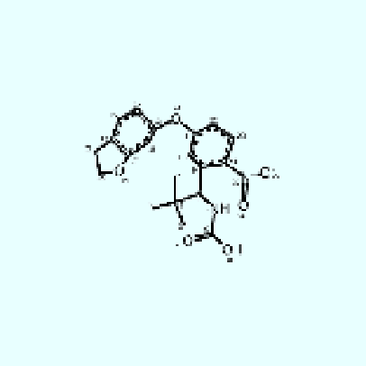 CC(C)(C)C(NC(=O)O)c1cc(Oc2ccc3c(c2)OCC3)ccc1[N+](=O)[O-]